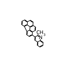 Cc1nc2ccccc2cc1-c1ccc2c3c1ccc1ccc4cccc-2c4c13